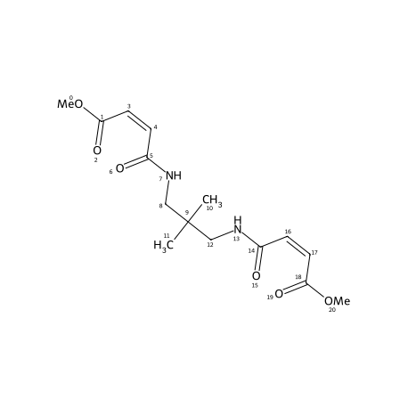 COC(=O)/C=C\C(=O)NCC(C)(C)CNC(=O)/C=C\C(=O)OC